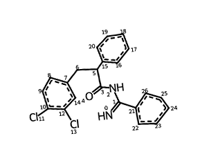 N=C(NC(=O)C(Cc1ccc(Cl)c(Cl)c1)c1ccccc1)c1ccccc1